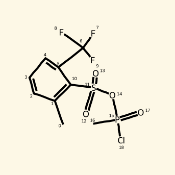 Cc1cccc(C(F)(F)F)c1S(=O)(=O)OP(C)(=O)Cl